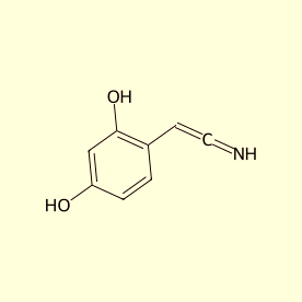 N=C=Cc1ccc(O)cc1O